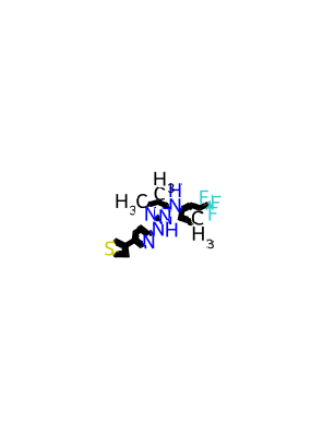 C/C=C\C(=C/CC(F)(F)F)NC1=NC(Nc2ccc(-c3ccsc3)cn2)=NC(C)C1C